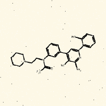 N#Cc1c(-c2cccc(N(CCN3CCCCC3)C(=O)C(F)(F)F)c2)cc(-c2ccccc2O)nc1N